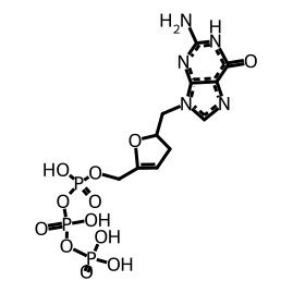 Nc1nc2c(ncn2CC2CC=C(COP(=O)(O)OP(=O)(O)OP(=O)(O)O)O2)c(=O)[nH]1